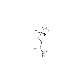 CN[C@H](C)CCC(N)(F)F